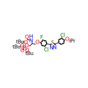 CC(C)Oc1ccc(-c2nnc(-c3cc(F)c(OCC(COP(=O)(OC(C)(C)C)OC(C)(C)C)NC(=O)OC(C)(C)C)cc3Cl)s2)cc1Cl